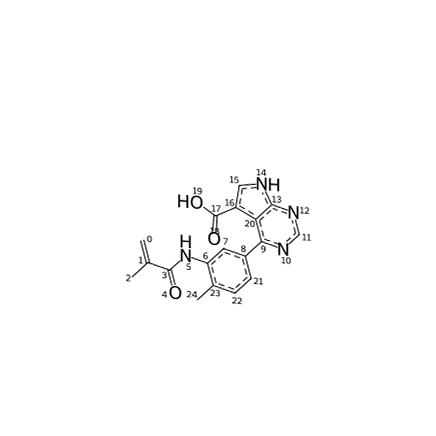 C=C(C)C(=O)Nc1cc(-c2ncnc3[nH]cc(C(=O)O)c23)ccc1C